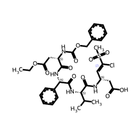 CCOC(=O)C[C@H](NC(=O)OCc1ccccc1)C(=O)N[C@H](C(=O)N[C@H](C(=O)N[C@H](/C=C(\Cl)S(C)(=O)=O)CC(=O)O)C(C)C)c1ccccc1